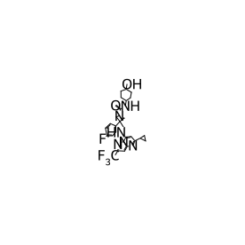 O=C(NC1CCC(O)CC1)N1CC(CNc2cc(C3CC3)nc3cc(C(F)(F)F)nn23)(c2ccc(F)cc2)C1